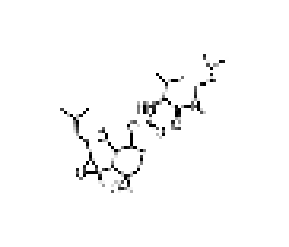 COC1C(OC(=O)NC(C(=O)N(C)CCN(C)C)C(C)C)CCC2(CO2)C1C1(C)OC1CC=C(C)C